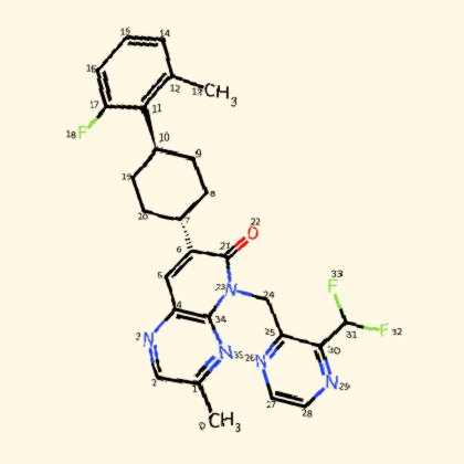 Cc1cnc2cc([C@H]3CC[C@H](c4c(C)cccc4F)CC3)c(=O)n(Cc3nccnc3C(F)F)c2n1